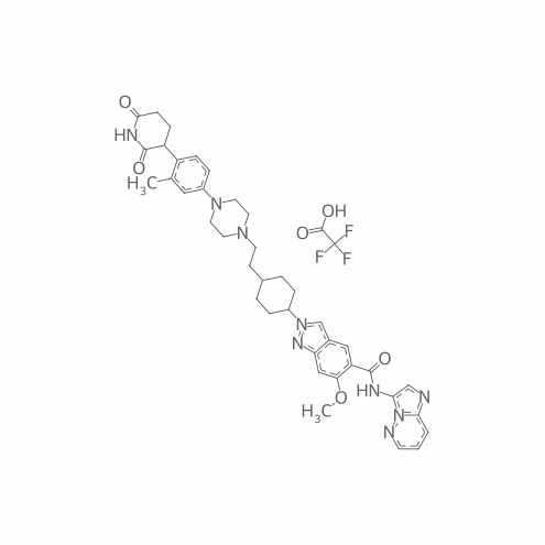 COc1cc2nn(C3CCC(CCN4CCN(c5ccc(C6CCC(=O)NC6=O)c(C)c5)CC4)CC3)cc2cc1C(=O)Nc1cnc2cccnn12.O=C(O)C(F)(F)F